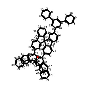 c1ccc(-c2cc(-c3ccccc3)cc(-c3ccc4c(c3)C3(c5ccccc5-c5ccc(-c6nc(-c7ccccc7)nc(-c7ccccc7)n6)cc53)c3cc(-c5cc(-c6ccccc6)cc(-c6ccccc6)c5)ccc3-4)c2)cc1